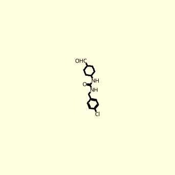 O=CC1CCC(NC(=O)NCc2ccc(Cl)cc2)CC1